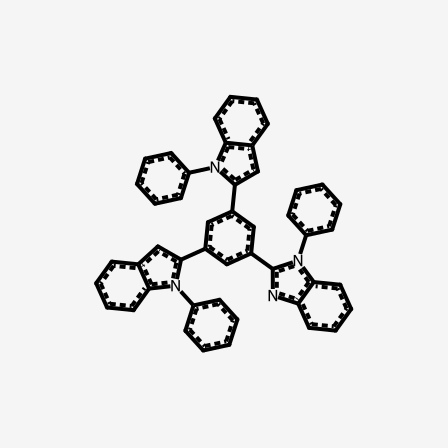 c1ccc(-n2c(-c3cc(-c4cc5ccccc5n4-c4ccccc4)cc(-c4nc5ccccc5n4-c4ccccc4)c3)cc3ccccc32)cc1